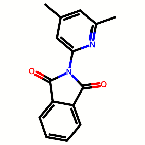 Cc1cc(C)nc(N2C(=O)c3ccccc3C2=O)c1